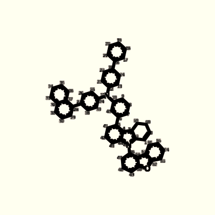 C1=Cc2c(c3c(-c4cccc(N(c5ccc(-c6ccccc6)cc5)c5ccc(-c6cccc7ccccc67)cc5)c4)cccc3n2-c2cccc3oc4ccccc4c23)CC1